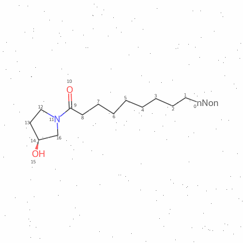 CCCCCCCCCCCCCCCCCC(=O)N1CC[C@H](O)C1